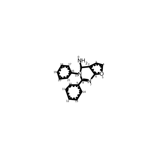 NC1c2ccoc2N=C(c2ccccc2)N1c1ccccc1